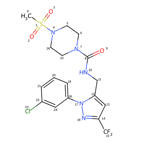 CS(=O)(=O)N1CCN(C(=O)NCc2cc(C(F)(F)F)nn2-c2cccc(Cl)c2)CC1